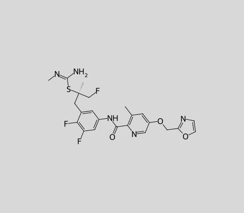 C/N=C(/N)S[C@@](C)(CF)Cc1cc(NC(=O)c2ncc(OCc3ncco3)cc2C)cc(F)c1F